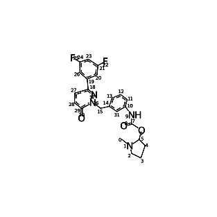 CN1CCCC1OC(=O)Nc1cccc(Cn2nc(-c3cc(F)cc(F)c3)ccc2=O)c1